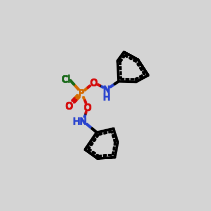 O=P(Cl)(ONc1ccccc1)ONc1ccccc1